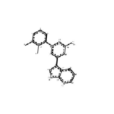 Cc1cccc(-c2cc(-c3c[nH]c4ncccc34)cc(Cl)n2)c1C